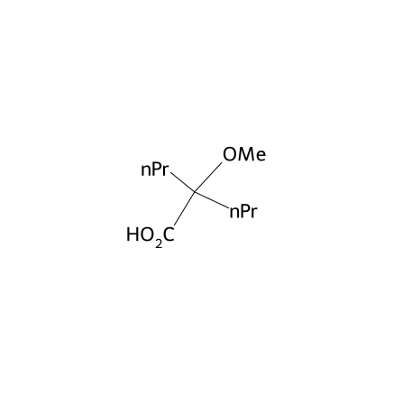 CCCC(CCC)(OC)C(=O)O